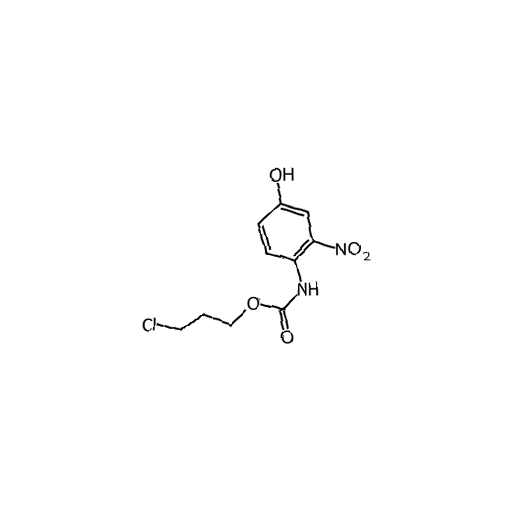 O=C(Nc1ccc(O)cc1[N+](=O)[O-])OCCCCl